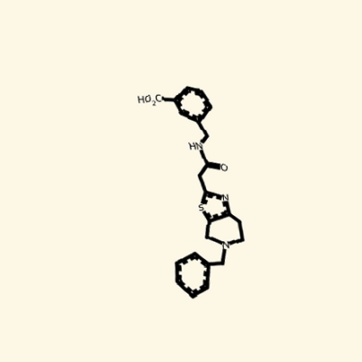 O=C(Cc1nc2c(s1)CN(Cc1ccccc1)CC2)NCc1cccc(C(=O)O)c1